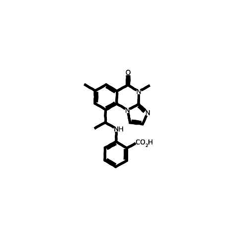 Cc1cc(C(C)Nc2ccccc2C(=O)O)c2c(c1)c(=O)n(C)c1nccn21